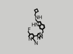 N#Cc1ncc(CF)cc1-c1cn(Cc2ccc3cc(CNCC4CCC4)[nH]c3c2)nn1